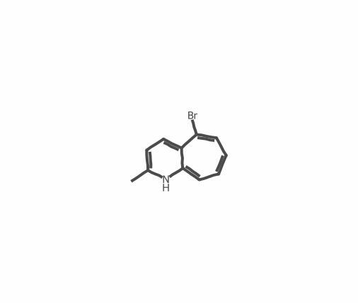 CC1=CC=C2C(Br)=CC=CC=C2N1